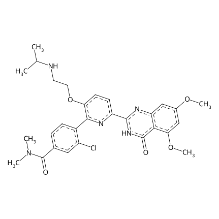 COc1cc(OC)c2c(=O)[nH]c(-c3ccc(OCCNC(C)C)c(-c4ccc(C(=O)N(C)C)cc4Cl)n3)nc2c1